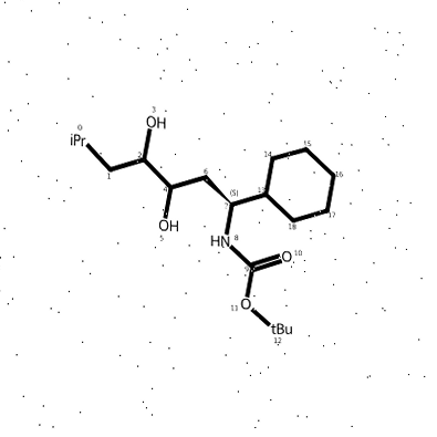 CC(C)CC(O)C(O)C[C@H](NC(=O)OC(C)(C)C)C1CCCCC1